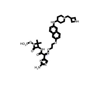 CC1(C)C(NC(=O)/C(=N\OCCOc2ccc3cc(NC4CCN(CC5CNC5)CC4)ccc3c2)c2csc(N)n2)C(=O)N1OS(=O)(=O)O